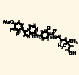 COc1ccc(-c2cnc3c(Nc4ccc(C(=O)NCCC[N+](C)(C)CCO)c(Cl)c4)nccn23)c(F)c1F